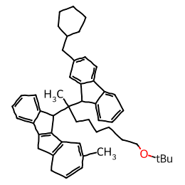 CC1=CC2=C(CC=C1)CC1=C2C(C(C)(CCCCCCOC(C)(C)C)C2c3ccccc3-c3ccc(CC4CCCCC4)cc32)c2ccccc21